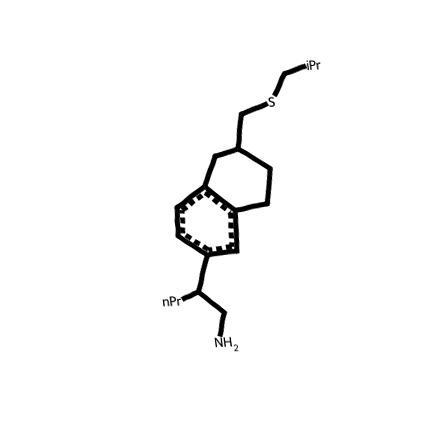 CCCC(CN)c1ccc2c(c1)CCC(CSCC(C)C)C2